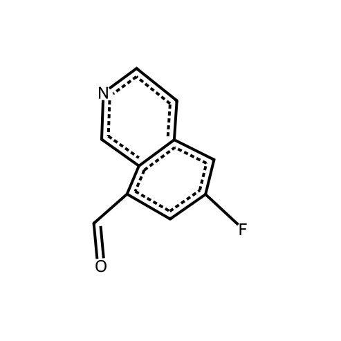 O=Cc1cc(F)cc2ccncc12